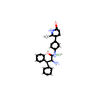 Cc1[nH]c(=O)ccc1-c1ccc(NC(=O)C(N)C(c2ccccc2)c2ccccc2)cc1.Cl